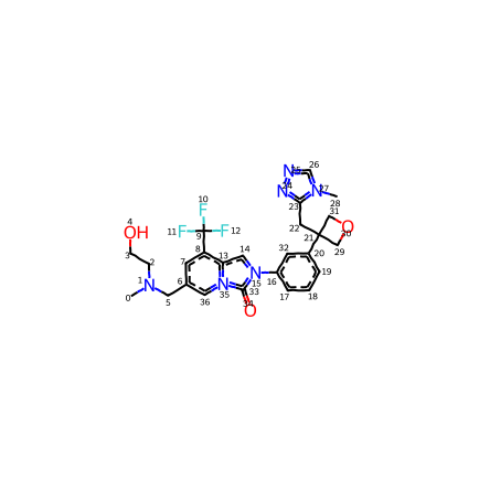 CN(CCO)Cc1cc(C(F)(F)F)c2cn(-c3cccc(C4(Cc5nncn5C)COC4)c3)c(=O)n2c1